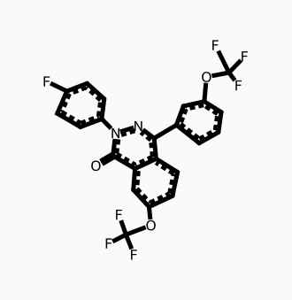 O=c1c2cc(OC(F)(F)F)ccc2c(-c2cccc(OC(F)(F)F)c2)nn1-c1ccc(F)cc1